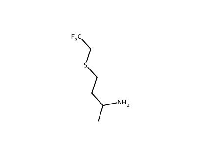 CC(N)CCSCC(F)(F)F